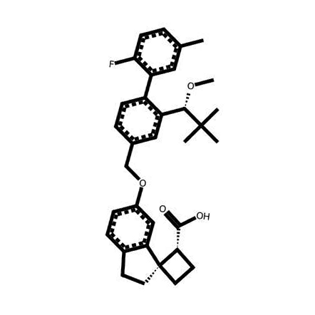 CO[C@@H](c1cc(COc2ccc3c(c2)[C@]2(CC3)CC[C@H]2C(=O)O)ccc1-c1cc(C)ccc1F)C(C)(C)C